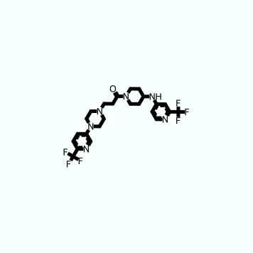 O=C(CCN1CCN(c2ccc(C(F)(F)F)nc2)CC1)N1CCC(Nc2ccnc(C(F)(F)F)c2)CC1